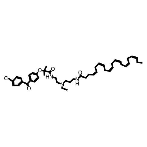 CC/C=C\C/C=C\C/C=C\C/C=C\C/C=C\C/C=C\CCC(=O)NCCCN(CC)CCNC(=O)C(C)(C)Oc1ccc(C(=O)c2ccc(Cl)cc2)cc1